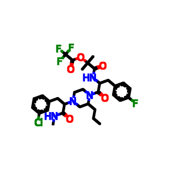 CCCC1CN(C(Cc2cccc(Cl)c2)C(=O)NC)CCN1C(=O)C(Cc1ccc(F)cc1)NC(=O)C(C)(C)OC(=O)C(F)(F)F